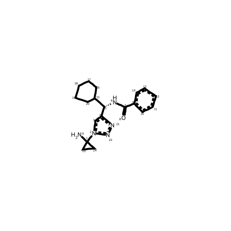 NC1(n2cc([C@@H](NC(=O)c3ccccc3)C3CCCCC3)nn2)CC1